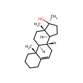 C[C@]12CCCCC1=CC[C@@H]1[C@@H]2CC[C@@]2(C)[C@H]1CC[C@]2(C)O